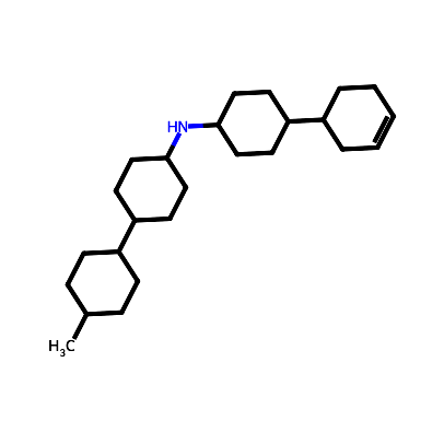 CC1CCC(C2CCC(NC3CCC(C4CC=CCC4)CC3)CC2)CC1